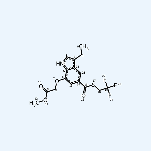 CCc1c[nH]c2c(OCC(=O)OC)cc(C(=O)SCC(F)(F)F)cc12